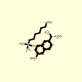 CCCCCCCCCCCCCCCC[N+](C)(C)C.COc1ccc2cc([C@H](C)C(=O)[O-])ccc2c1